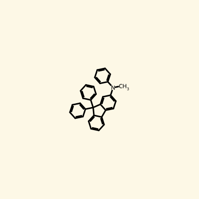 CN(c1ccccc1)c1ccc2c(c1)C(c1ccccc1)(c1ccccc1)c1ccccc1-2